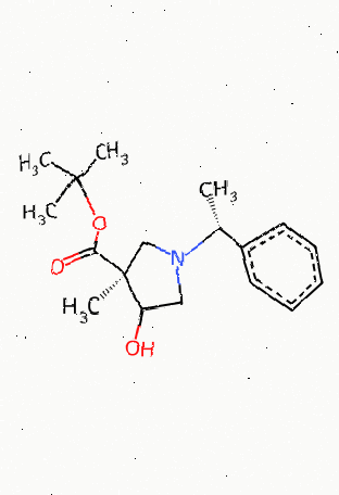 C[C@H](c1ccccc1)N1CC(O)[C@@](C)(C(=O)OC(C)(C)C)C1